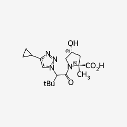 CC(C)(C)C(C(=O)N1C[C@H](O)C[C@@]1(C)C(=O)O)n1cc(C2CC2)nn1